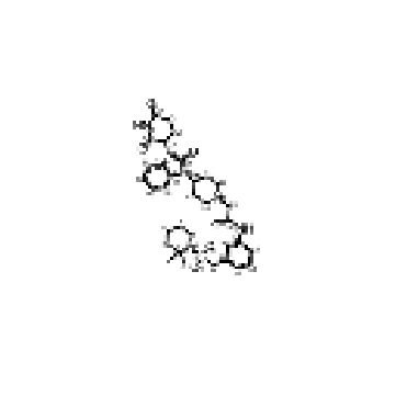 CC1(C)CCCCN1S(=O)(=O)Cc1cccc(NC(=O)CN2CCC(n3c(=O)n(C4CCC(=O)NC4=O)c4ccccc43)CC2)c1